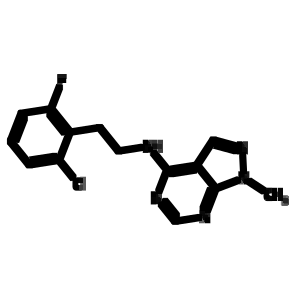 Cn1ncc2c(NCCc3c(F)cccc3Cl)ncnc21